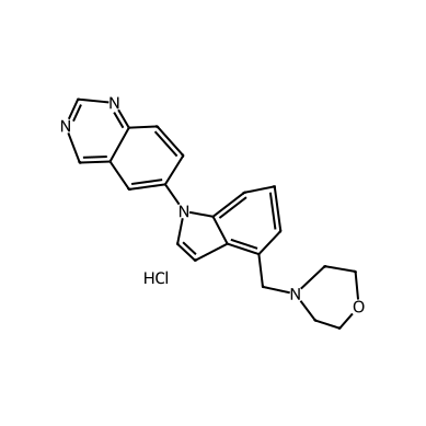 Cl.c1cc(CN2CCOCC2)c2ccn(-c3ccc4ncncc4c3)c2c1